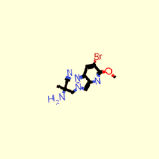 COc1nc2cn(CC(C)(N)C#N)nc2cc1Br